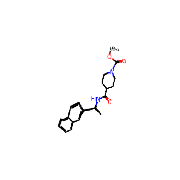 CC(NC(=O)C1CCN(C(=O)OC(C)(C)C)CC1)c1ccc2ccccc2c1